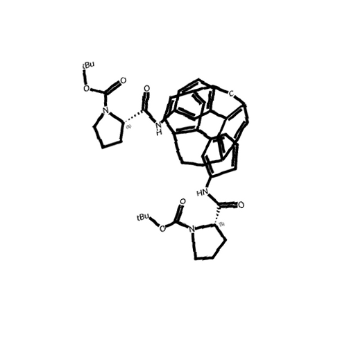 CC(C)(C)OC(=O)N1CCC[C@H]1C(=O)Nc1cccc(-c2cc3ccc2CCc2ccc(c(-c4cccc(NC(=O)[C@@H]5CCCN5C(=O)OC(C)(C)C)c4)c2)CC3)c1